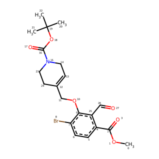 COC(=O)c1ccc(Br)c(OCC2=CCN(C(=O)OC(C)(C)C)CC2)c1C=O